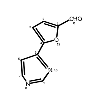 O=Cc1ccc(-c2ccncn2)o1